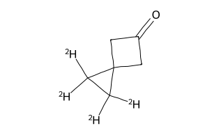 [2H]C1([2H])C([2H])([2H])C12CC(=O)C2